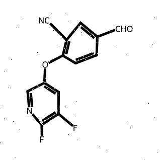 N#Cc1cc(C=O)ccc1Oc1cnc(F)c(F)c1